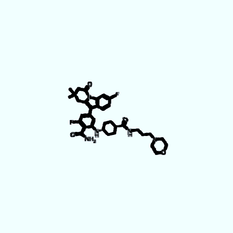 CC1(C)CC(=O)n2c(c(-c3cc(F)c(C(N)=O)c(N[C@H]4CC[C@H](C(=O)NCCCN5CCOCC5)CC4)c3)c3ccc(F)cc32)C1